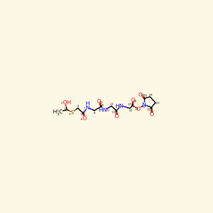 CC(O)SCC(=O)NCC(=O)NCC(=O)NCC(=O)ON1C(=O)CCC1=O